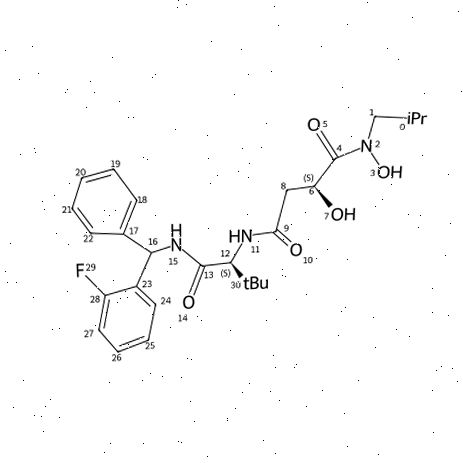 CC(C)CN(O)C(=O)[C@@H](O)CC(=O)N[C@H](C(=O)NC(c1ccccc1)c1ccccc1F)C(C)(C)C